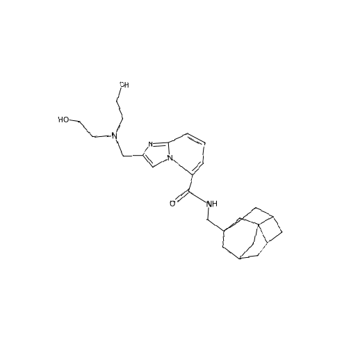 O=C(NCC12CC3CC4CC(C1)C4(C3)C2)c1cccc2nc(CN(CCO)CCO)cn12